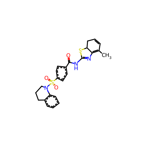 CC1=C2N=C(NC(=O)c3ccc(S(=O)(=O)N4CCCc5ccccc54)cc3)SC2CC=C1